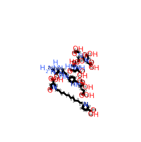 CCCCCCCCCCCCN1CC(C(=O)O)CC1=O.Nc1nc(=O)c2nc(CNc3ccc(C(=O)N[C@@H](CCC(=O)O)C(=O)O)cc3)cnc2[nH]1.O=C(O)CN(CCN(CC(=O)O)CC(=O)O)CC(=O)O.O=C(O)c1cc(=O)[nH]c(=O)[nH]1.O=C(O)c1cccnc1